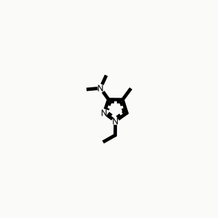 CCn1cc(C)c(N(C)C)n1